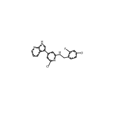 Fc1cc(Cl)ccc1CNc1cc(-c2c[nH]c3ncccc23)cc(Cl)n1